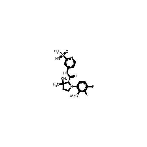 COc1c(N2CCC(C)(C)[C@H]2C(=O)Nc2ccnc([S@](C)(=N)=O)c2)ccc(F)c1F